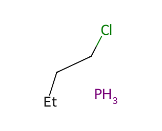 CCCCCl.P